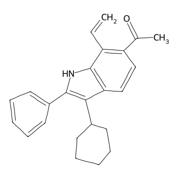 C=Cc1c(C(C)=O)ccc2c(C3CCCCC3)c(-c3ccccc3)[nH]c12